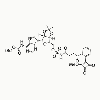 COc1c(-c2ccccc2C(=O)CCC(=O)NS(=O)(=O)OC[C@H]2O[C@@H](n3cnc4c(NC(=O)OC(C)(C)C)ncnc43)[C@@H]3OC(C)(C)O[C@@H]32)c(=O)c1=O